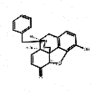 O=C1C=C[C@@]2(O)[C@H]3Cc4ccc(O)c5c4C2(CCN3Cc2ccccc2)[C@H]1O5